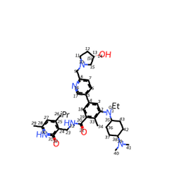 CCN(c1cc(-c2ccc(CN3CC[C@H](O)C3)nc2)cc(C(=O)NCc2c(C(C)C)cc(C)[nH]c2=O)c1C)C1CCC(N(C)C)CC1